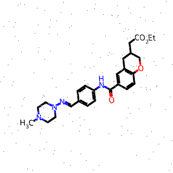 CCOC(=O)CC1COc2ccc(C(=O)Nc3ccc(C=NN4CCN(C)CC4)cc3)cc2C1